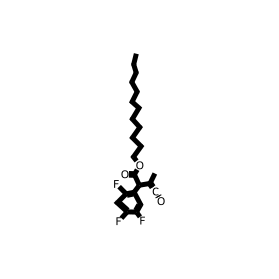 CCCCCCCCCCCCOC(=O)C(C(C)=C=O)c1cc(F)c(F)cc1F